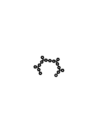 C1=CCC(c2ccc(N(c3ccccc3)c3ccc(-c4ccc(N(c5ccccc5)c5ccc(-c6ccc(-c7ccc(N(c8ccccc8)c8ccc(-c9ccc(N(c%10ccccc%10)c%10ccc(-c%11ccccc%11)cc%10)cc9)cc8)cc7)cc6)cc5)cc4)cc3)cc2)C=C1